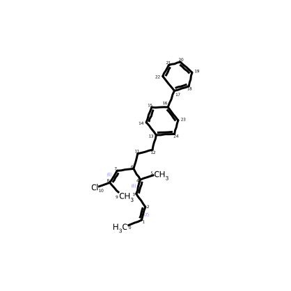 C/C=C\C=C(/C)C(/C=C(\C)Cl)CCc1ccc(-c2ccccc2)cc1